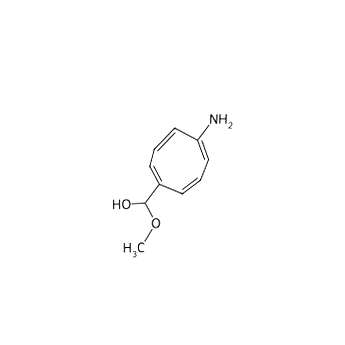 COC(O)C1=C/C=C\C(N)=C/C=C\1